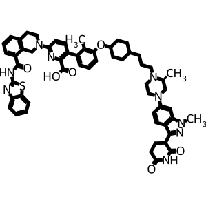 Cc1c(OC2CCC(CCCN3CCN(c4ccc5c(C6CCC(=O)NC6=O)nn(C)c5c4)C[C@@H]3C)CC2)cccc1-c1ccc(N2CCc3cccc(C(=O)Nc4nc5ccccc5s4)c3C2)nc1C(=O)O